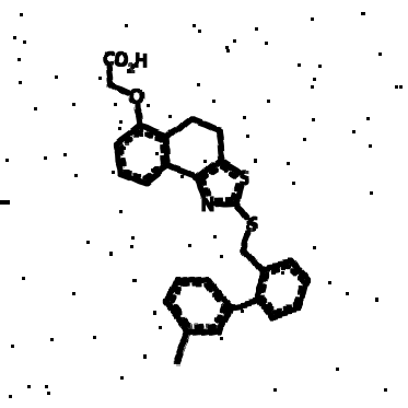 Cc1cccc(-c2ccccc2CSc2nc3c(s2)CCc2c(OCC(=O)O)cccc2-3)c1